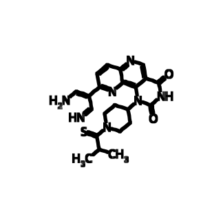 CC(C)C(=S)N1CCC(n2c(=O)[nH]c(=O)c3cnc4ccc(/C(C=N)=C/N)nc4c32)CC1